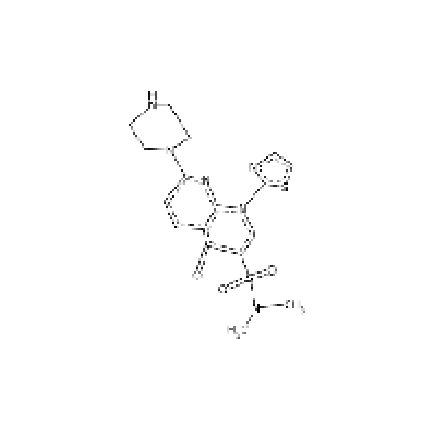 CN(C)S(=O)(=O)c1cn(-c2nccs2)c2nc(N3CCNCC3)ccc2c1=O